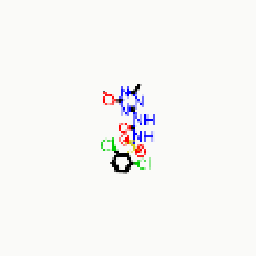 COc1nc(C)nc(NC(=O)NS(=O)(=O)c2c(Cl)cccc2Cl)n1